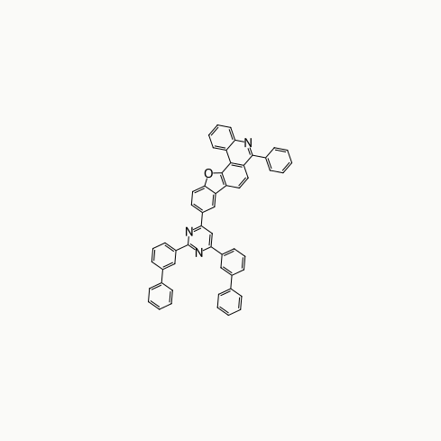 c1ccc(-c2cccc(-c3cc(-c4ccc5oc6c(ccc7c(-c8ccccc8)nc8ccccc8c76)c5c4)nc(-c4cccc(-c5ccccc5)c4)n3)c2)cc1